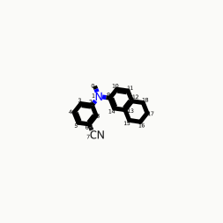 CN(c1cccc(C#N)c1)c1ccc2c(c1)CCCC2